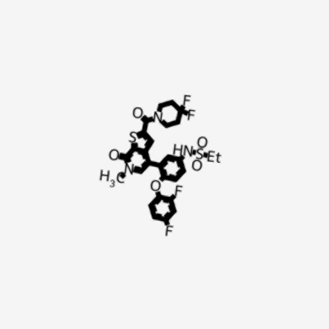 CCS(=O)(=O)Nc1ccc(Oc2ccc(F)cc2F)c(-c2cn(C)c(=O)c3sc(C(=O)N4CCC(F)(F)CC4)cc23)c1